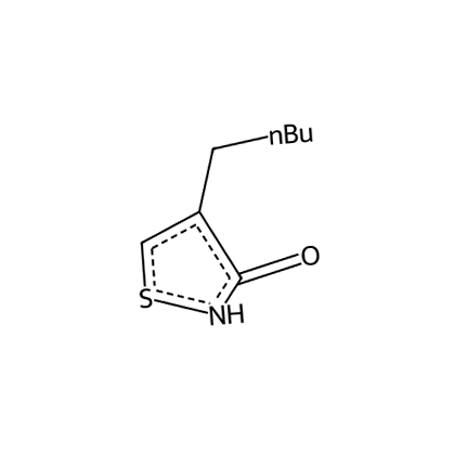 CCCCCc1cs[nH]c1=O